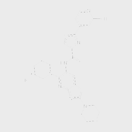 Cc1cc(-c2nc(C(=O)Nc3cc4sc(N5CCOCC5)nc4nc3N3CCC[C@@H](O)C3)co2)ccn1